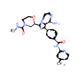 CCNC(=O)N1CCOC(c2nc(-c3ccc(C(=O)Nc4cc(C(F)(F)F)ccn4)cc3)c3c(N)nccn23)C1